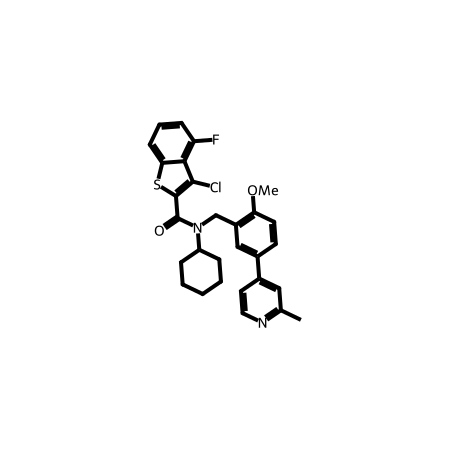 COc1ccc(-c2ccnc(C)c2)cc1CN(C(=O)c1sc2cccc(F)c2c1Cl)C1CCCCC1